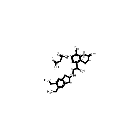 CCc1cc2c(cc1CC)CC(NCC(O)c1ccc(O)c3c1CCC(=O)N3)C2.O=C(O)CC(=O)O